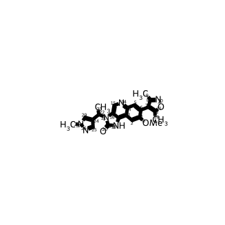 COc1cc2c(cc1-c1c(C)noc1C)ncc1c2[nH]c(=O)n1C(C)c1cnn(C)c1